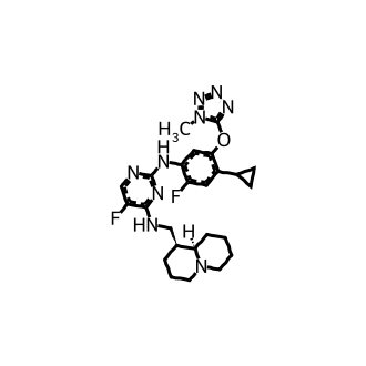 Cn1nnnc1Oc1cc(Nc2ncc(F)c(NC[C@@H]3CCCN4CCCC[C@H]34)n2)c(F)cc1C1CC1